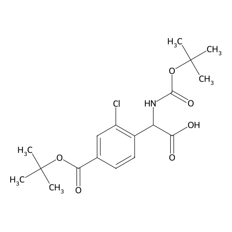 CC(C)(C)OC(=O)NC(C(=O)O)c1ccc(C(=O)OC(C)(C)C)cc1Cl